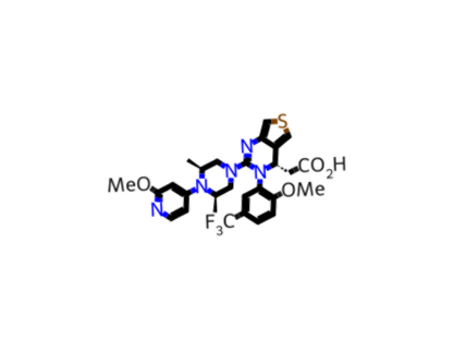 COc1cc(N2[C@H](C)CN(C3=Nc4cscc4[C@H](CC(=O)O)N3c3cc(C(F)(F)F)ccc3OC)C[C@@H]2C)ccn1